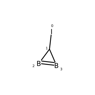 IC1B=B1